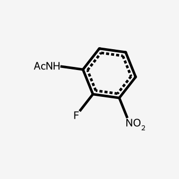 CC(=O)Nc1cccc([N+](=O)[O-])c1F